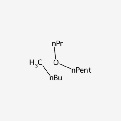 CCCCC.CCCCCOCCC